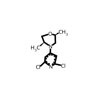 C[C@H]1CN(c2cc(Cl)nc(Cl)c2)[C@@H](C)CO1